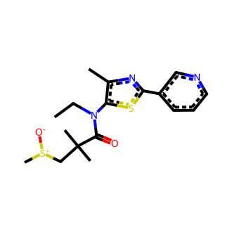 CCN(C(=O)C(C)(C)C[S+](C)[O-])c1sc(-c2cccnc2)nc1C